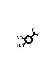 N#Cc1cc(C(F)F)ccc1N